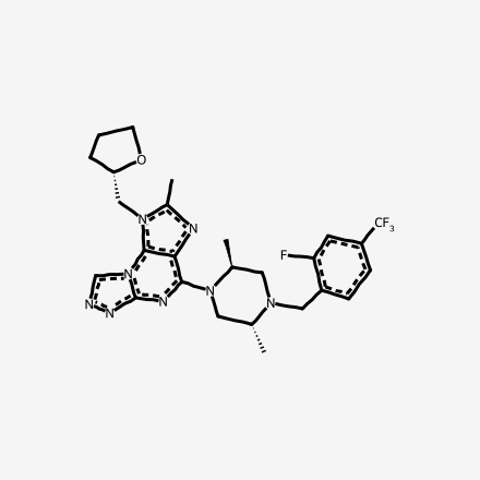 Cc1nc2c(N3C[C@@H](C)N(Cc4ccc(C(F)(F)F)cc4F)C[C@@H]3C)nc3nncn3c2n1C[C@@H]1CCCO1